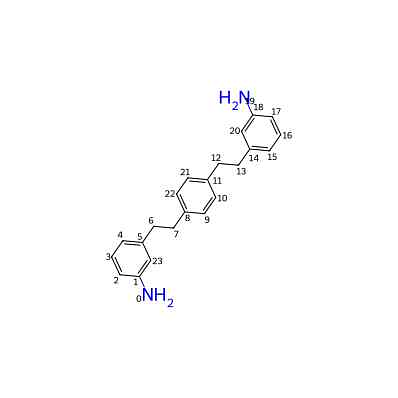 Nc1cccc(CCc2ccc(CCc3cccc(N)c3)cc2)c1